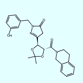 CC1(C)O[C@@H](C(=O)N2CCc3ccccc3C2)[C@H](C2=NN(Cc3cccc(O)c3)C(=O)C2)O1